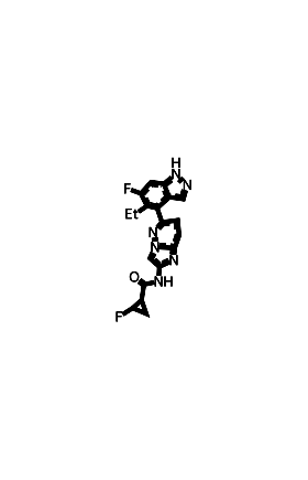 CCc1c(F)cc2[nH]ncc2c1-c1ccc2nc(NC(=O)C3CC3F)cn2n1